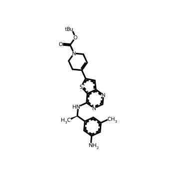 Cc1cc(N)cc([C@@H](C)Nc2ncnc3cc(C4=CCN(C(=O)OC(C)(C)C)CC4)sc23)c1